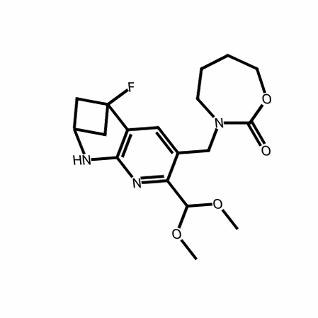 COC(OC)c1nc2c(cc1CN1CCCCOC1=O)C1(F)CC(C1)N2